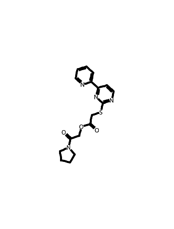 O=C(CSc1nccc(-c2ccccn2)n1)OCC(=O)N1CCCC1